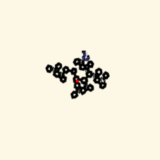 C\C=C/C=C(\C=C/C)n1c2ccccc2c2ccc3c(c4ccccc4n3-c3cc(-c4cc(-c5cccc(-c6cccc(-c7cccc(-n8c9c(c%10ccccc%108)C=CC8C9C9CCC=CC9N8c8ccccc8)c7)c6)c5)cc(N5c6c(ccc7c6c6c(n7-c7ccccc7)CCC=C6)C6C=CC=CC65)c4)cc(-n4c5c(c6c4ccc4c7ccccc7n(-c7ccccc7)c46)CCC=C5)c3)c21